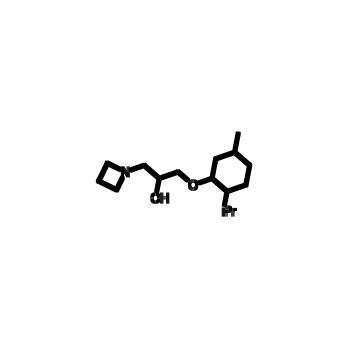 CC1CCC(C(C)C)C(OCC(O)CN2CCC2)C1